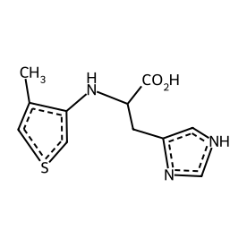 Cc1cscc1NC(Cc1c[nH]cn1)C(=O)O